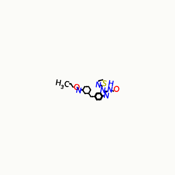 CCCON=C1CCCC(Cc2ccc3nc(NC=O)n(C4=NCCS4)c3c2)C1